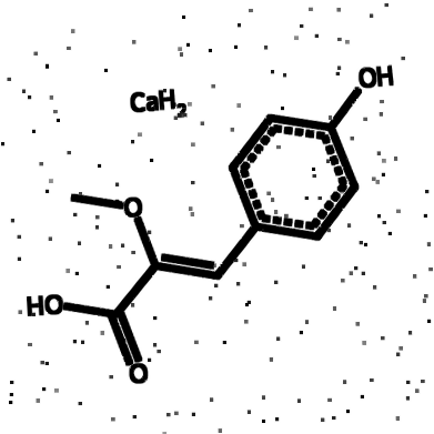 COC(=Cc1ccc(O)cc1)C(=O)O.[CaH2]